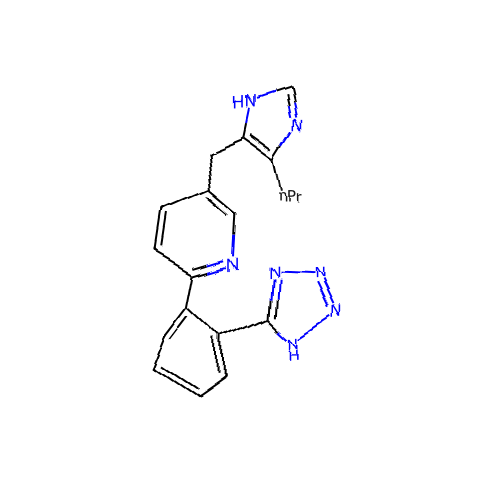 CCCc1nc[nH]c1Cc1ccc(-c2ccccc2-c2nnn[nH]2)nc1